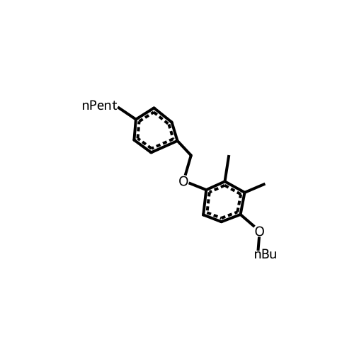 CCCCCc1ccc(COc2ccc(OCCCC)c(C)c2C)cc1